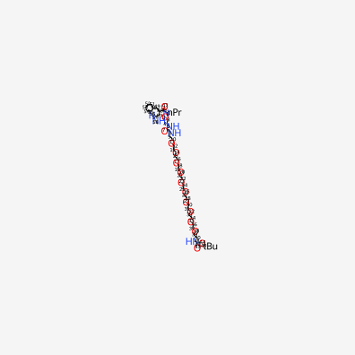 CCCN(OCCNC(=O)NCCOCCOCCOCCOCCOCCOCCOCCOCCOCCOCCNC(=O)OC(C)(C)C)C(=O)C1=Cc2ccccc2N=C(N)C1